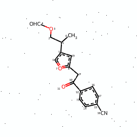 CC(COC=O)c1coc(CC(=O)c2ccc(C#N)cc2)c1